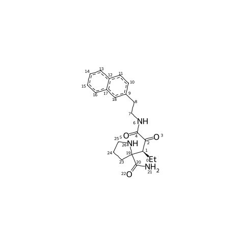 CC[C@H](C(=O)C(=O)NCCc1ccc2ccccc2c1)C1(C(N)=O)CCCN1